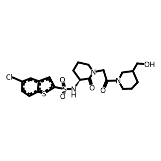 O=C(CN1CCC[C@H](NS(=O)(=O)c2cc3cc(Cl)ccc3s2)C1=O)N1CCCC(CO)C1